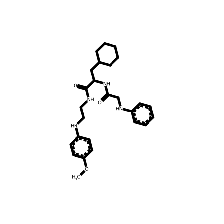 COc1ccc(NCCNC(=O)C(CC2CCCCC2)NC(=O)CNc2ccccc2)cc1